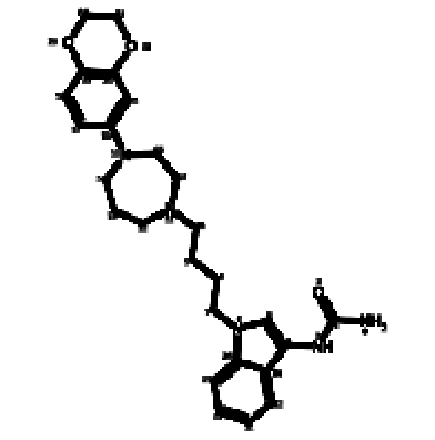 NC(=O)Nc1cn(CCCCN2CCCN(c3ccc4c(c3)OCCO4)CC2)c2ccccc12